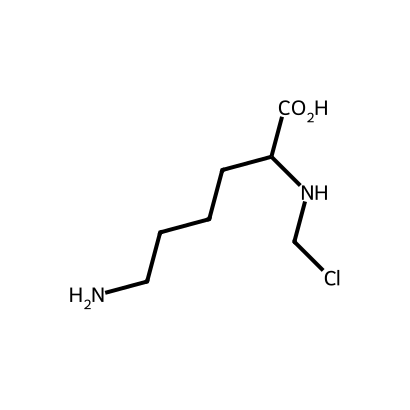 NCCCCC(NCCl)C(=O)O